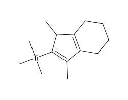 CC1=[C]([Ti]([CH3])([CH3])[CH3])C(C)C2=C1CCCC2